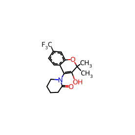 CC1(C)Oc2cc(C(F)(F)F)ccc2C(N2CCCCC2=O)=C1O